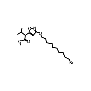 COC(=O)C(c1cc(OCCCCCCCCCCBr)no1)C(C)C